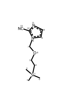 C[Si](C)(C)CCOCn1ccnc1C#N